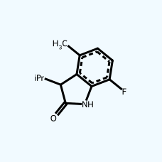 Cc1ccc(F)c2c1C(C(C)C)C(=O)N2